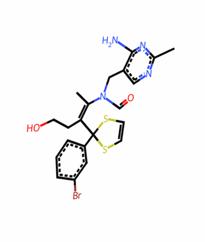 C/C(=C(\CCO)C1(c2cccc(Br)c2)SC=CS1)N(C=O)Cc1cnc(C)nc1N